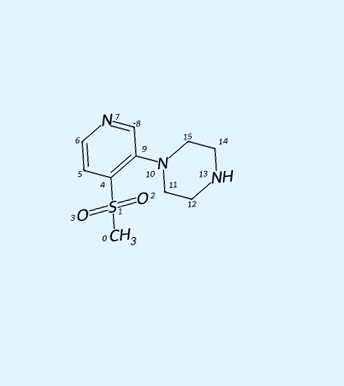 CS(=O)(=O)c1ccn[c]c1N1CCNCC1